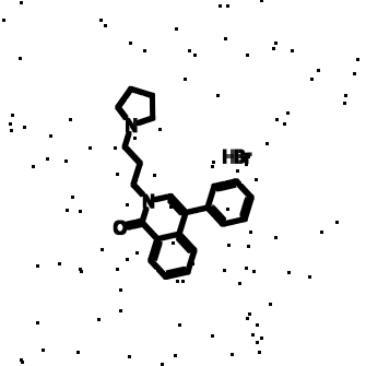 Br.O=c1c2ccccc2c(-c2ccccc2)cn1CCCN1CCCC1